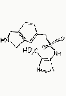 O=C(O)c1ncsc1NS(=O)(=O)Cc1ccc2c(c1)CNC2